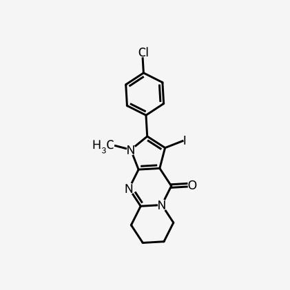 Cn1c(-c2ccc(Cl)cc2)c(I)c2c(=O)n3c(nc21)CCCC3